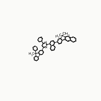 CC1(C)c2cc(-c3ccc(-c4nc(-c5ccccc5)cc(-c5ccc6c(c5)C(C)(c5ccccc5)c5ccccc5-6)n4)c4ccccc34)ccc2-c2cc3ccccc3cc21